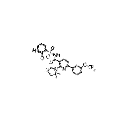 C[C@@H]1CN(c2nc(-c3cccc(OC(F)(F)F)c3)ccc2C(=O)NS(=O)(=O)c2ccc[nH]c2=O)C(C)(C)C1